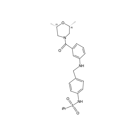 CC(C)S(=O)(=O)Nc1ccc(CNc2cccc(C(=O)N3C[C@@H](C)O[C@@H](C)C3)c2)cc1